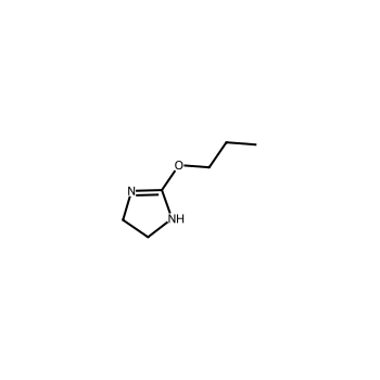 CCCOC1=NCCN1